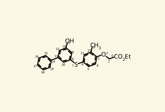 CCOC(=O)COc1ccc(Sc2cc(O)cc(-c3ccccc3)c2)cc1C